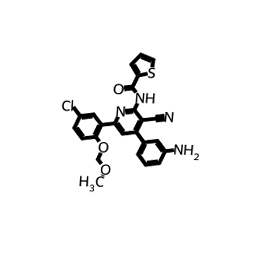 COCOc1ccc(Cl)cc1-c1cc(-c2cccc(N)c2)c(C#N)c(NC(=O)c2cccs2)n1